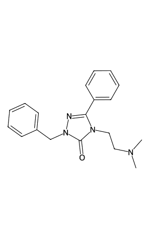 CN(C)CCn1c(-c2ccccc2)nn(Cc2ccccc2)c1=O